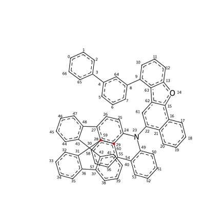 c1ccc(-c2cccc(-c3cccc4oc5c6ccccc6c(N(c6ccc7c(c6)C6(c8ccccc8-c8ccccc86)c6ccccc6-7)c6ccccc6-c6ccccc6)cc5c34)c2)cc1